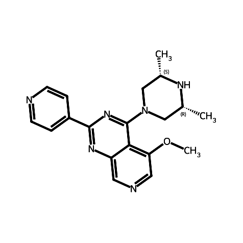 COc1cncc2nc(-c3ccncc3)nc(N3C[C@@H](C)N[C@@H](C)C3)c12